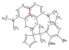 COc1c(C(C)(C)C)cc(C)cc1C(C)(C)[C]1([Ho]([CH2]c2ccccc2N(C)C)[CH2]c2ccccc2N(C)C)C=CC=C1